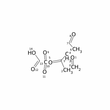 C=O.CC(C)=O.CC=O.O=C=O.O=CO